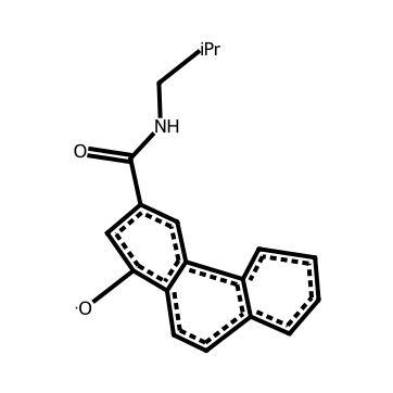 CC(C)CNC(=O)c1cc([O])c2ccc3ccccc3c2c1